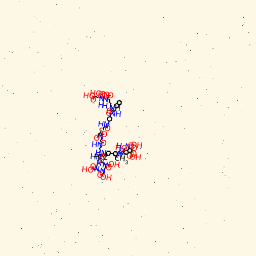 Cc1cc(-c2ccc(NC(=O)[C@@H](CCCCNC(=O)CCN3C(=O)CC(SCCC(=O)NCC4CCC(C(=O)NC(Cc5ccc6ccccc6c5)C(=O)NCCCCC(NC(=O)N[C@@H](CCC(=O)O)C(=O)O)C(=O)O)CC4)C3=O)NC(=O)CN3CCN(CC(=O)O)CCN(CC(=O)O)CCN(CC(=O)O)CC3)c(C)c2)ccc1N=Nc1ccc2c(S(=O)(=O)O)cc(S(=O)(=O)O)c(N)c2c1O